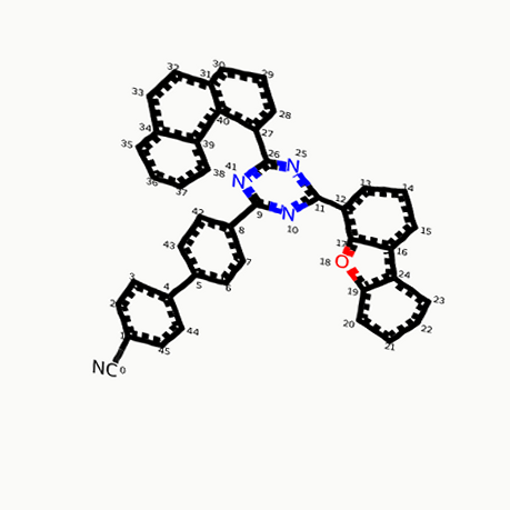 N#Cc1ccc(-c2ccc(-c3nc(-c4cccc5c4oc4ccccc45)nc(-c4cccc5ccc6ccccc6c45)n3)cc2)cc1